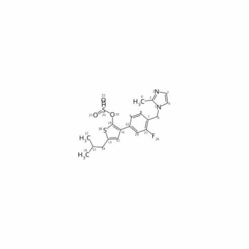 Cc1nccn1Cc1ccc(-c2cc(CC(C)C)sc2O[SH](=O)=O)cc1F